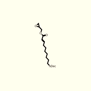 CCCCCCCCCCCCCCCCCC=CC(=O)OCC1CO1